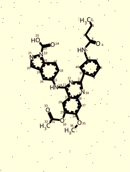 CCCC(=O)Nc1cccc(-c2nc(Nc3ccc4c(cnn4C(=O)O)c3)c3cc(OC(C)=O)c(OC)cc3n2)c1